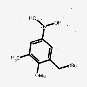 COc1c(C)cc(B(O)O)cc1CC(C)(C)C